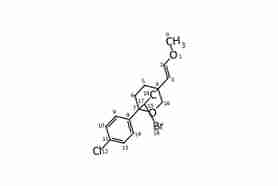 CO/C=C/C12CCC(c3ccc(Cl)cc3)(OC1)C(Br)C2